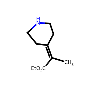 CCOC(=O)C(C)=C1CCNCC1